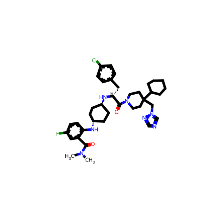 CN(C)C(=O)c1cc(F)ccc1N[C@H]1CC[C@H](N[C@H](Cc2ccc(Cl)cc2)C(=O)N2CCC(Cn3cncn3)(C3CCCCC3)CC2)CC1